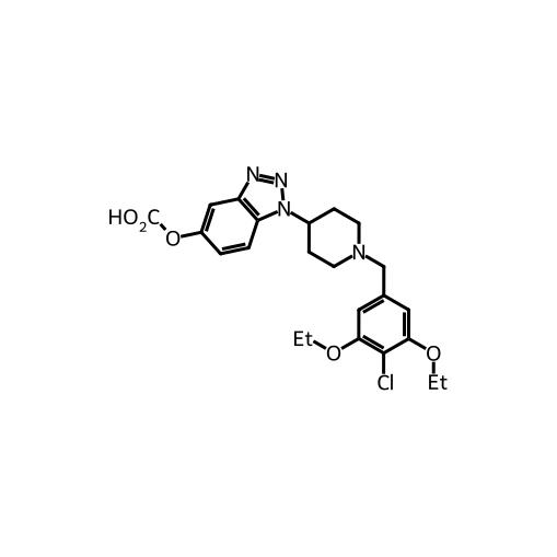 CCOc1cc(CN2CCC(n3nnc4cc(OC(=O)O)ccc43)CC2)cc(OCC)c1Cl